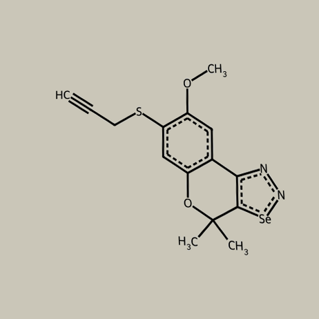 C#CCSc1cc2c(cc1OC)-c1nn[se]c1C(C)(C)O2